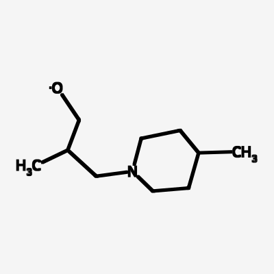 CC1CCN(CC(C)C[O])CC1